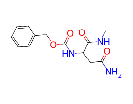 CNC(=O)C(CC(N)=O)NC(=O)OCc1ccccc1